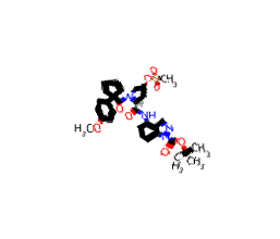 COc1ccc(C2(C(=O)N3C[C@@H](OS(C)(=O)=O)C[C@@H]3C(=O)Nc3cccc4c3cnn4C(=O)OC(C)(C)C)CCCC2)cc1